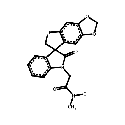 CN(C)C(=O)CN1C(=O)C2(COc3cc4c(cc32)OCO4)c2ccccc21